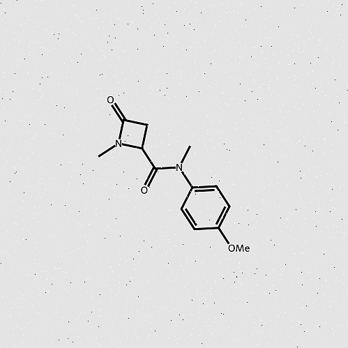 COc1ccc(N(C)C(=O)C2CC(=O)N2C)cc1